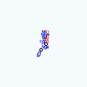 CN[C@@H](C)C(=O)N[C@H](C(=O)N1CCC[C@H]1C(=O)Nc1cc2c(Nc3ccc(N4CCN(C)CC4)cc3)ncnc2cc1OC)C(C)(C)C